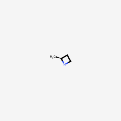 C[C@H]1CC[N]1